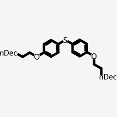 CCCCCCCCCCCCOc1ccc(Sc2ccc(OCCCCCCCCCCCC)cc2)cc1